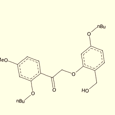 CCCCOc1ccc(CO)c(OCC(=O)c2ccc(OC)cc2OCCCC)c1